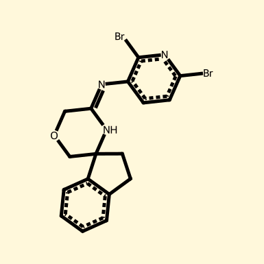 Brc1ccc(N=C2COCC3(CCc4ccccc43)N2)c(Br)n1